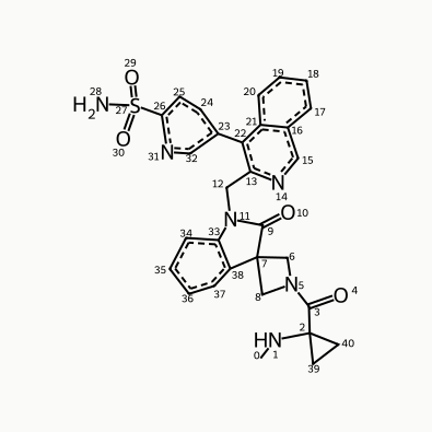 CNC1(C(=O)N2CC3(C2)C(=O)N(Cc2ncc4ccccc4c2-c2ccc(S(N)(=O)=O)nc2)c2ccccc23)CC1